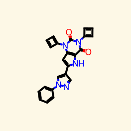 O=c1c2[nH]c(-c3cnn(-c4ccccc4)c3)cc2n(C2=CC=C2)c(=O)n1C1=CC=C1